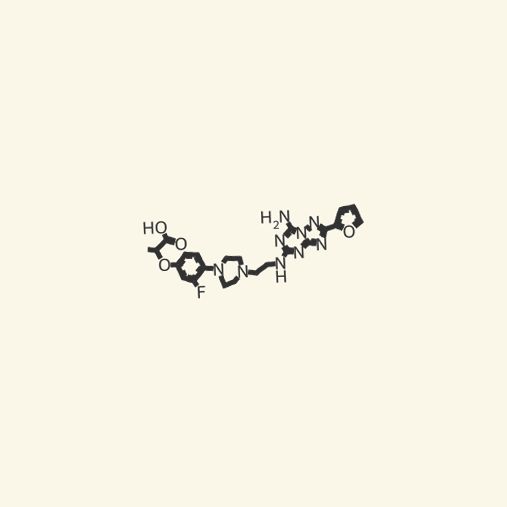 CC(Oc1ccc(N2CCN(CCNc3nc(N)n4nc(-c5ccco5)nc4n3)CC2)c(F)c1)C(=O)O